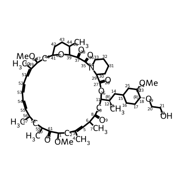 COC1CC(C)=CC(C)C(=O)CC([C@H](C)CC2CC[C@@H](OCCO)[C@H](OC)C2)OC(=O)C2CCCCN2C(=O)C(=O)C2OC(CCC2C)CC(OC)C(C)=CC=CC=CC(C)CC(C)C1=O